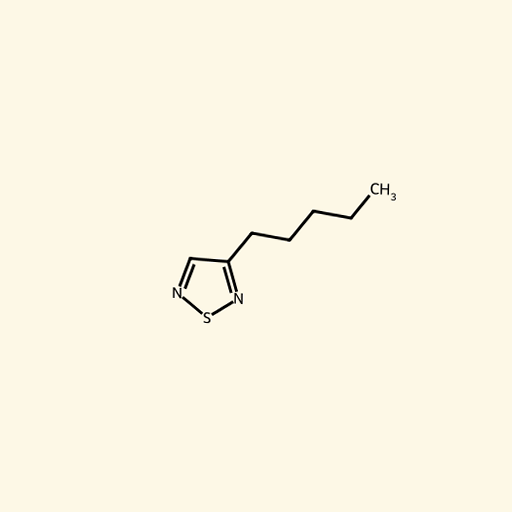 CCCCCc1cnsn1